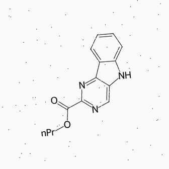 CCCOC(=O)c1ncc2[nH]c3ccccc3c2n1